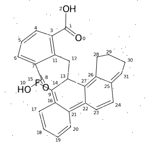 O=C(O)c1cccc(C(=O)O)c1CC1C(F)=c2ccccc2=c2ccc3c(c21)CCCC=3